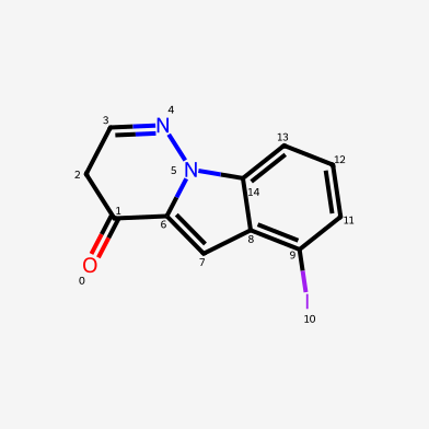 O=C1CC=Nn2c1cc1c(I)cccc12